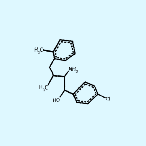 Cc1ccccc1CC(C)C(N)C(O)c1ccc(Cl)cc1